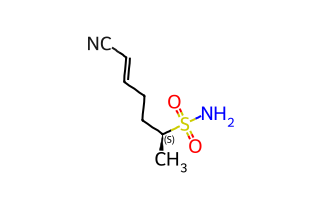 C[C@@H](CCC=CC#N)S(N)(=O)=O